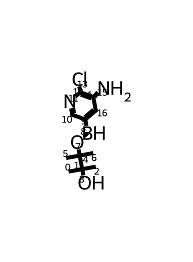 CC(C)(O)C(C)(C)OBc1cnc(Cl)c(N)c1